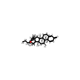 C=C1C=C[C@@]2(C)C(=C1)CC[C@@]1(C)[C@@]3(C)C[C@@H]4CC(CCC)C[C@]4(C(=C)CO)[C@@]3(C)C[C@H](C)[C@]12C